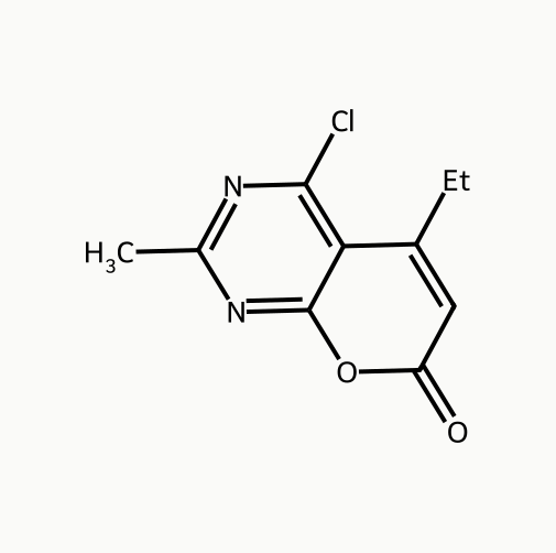 CCc1cc(=O)oc2nc(C)nc(Cl)c12